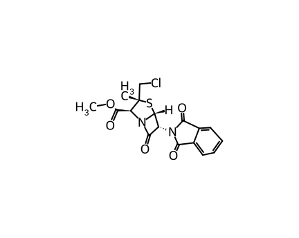 COC(=O)[C@@H]1N2C(=O)[C@@H](N3C(=O)c4ccccc4C3=O)[C@H]2S[C@@]1(C)CCl